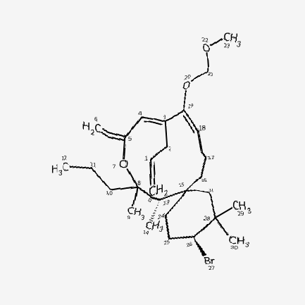 C=CCC1=C\C(=C)OC(C)(CCC)[C@@H](C)C2(CC/C=C\1OCOC)CC[C@H](Br)C(C)(C)C2